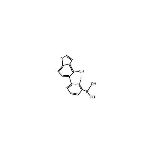 OB(O)c1cccc(-c2ccc3sccc3c2O)c1F